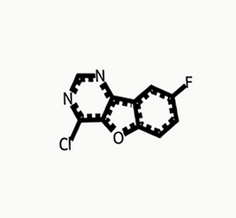 Fc1ccc2oc3c(Cl)ncnc3c2c1